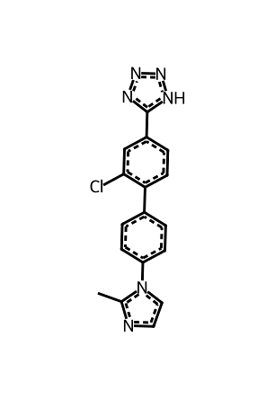 Cc1nccn1-c1ccc(-c2ccc(-c3nnn[nH]3)cc2Cl)cc1